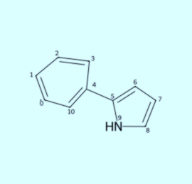 [c]1cccc(-c2ccc[nH]2)c1